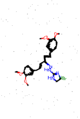 Br.COc1ccc(C=CC(C=Cc2ccc(OC)c(OC)c2)=NNC2=NCCN2)cc1OC